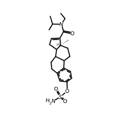 CCN(C(=O)C1=CCC2C3CCc4cc(OS(N)(=O)=O)ccc4C3CC[C@]12C)C(C)C